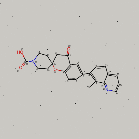 Cc1c(-c2ccc3c(c2)C(=O)CC2(CCN(C(=O)O)CC2)O3)ccc2cccnc12